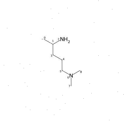 [CH2]C(N)CCCN(C)C